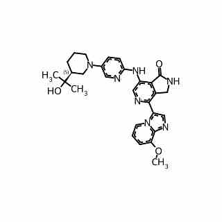 COc1cccn2c(-c3ncc(Nc4ccc(N5CCC[C@H](C(C)(C)O)C5)cn4)c4c3CNC4=O)cnc12